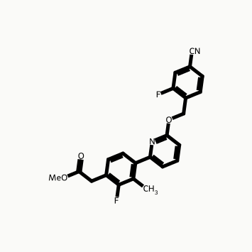 COC(=O)Cc1ccc(-c2cccc(OCc3ccc(C#N)cc3F)n2)c(C)c1F